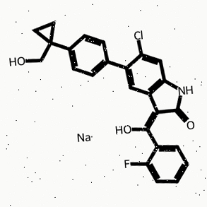 O=C1Nc2cc(Cl)c(-c3ccc(C4(CO)CC4)cc3)cc2C1=C(O)c1ccccc1F.[Na]